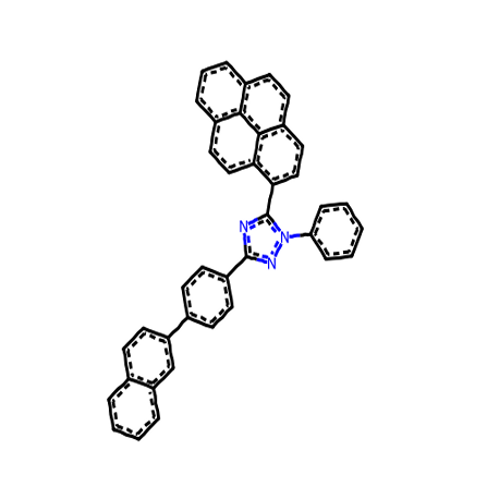 c1ccc(-n2nc(-c3ccc(-c4ccc5ccccc5c4)cc3)nc2-c2ccc3ccc4cccc5ccc2c3c45)cc1